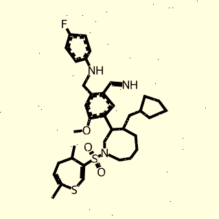 COc1cc(CNc2ccc(F)cc2)c(C=N)cc1C1CN(S(=O)(=O)C2=CSC(C)=CCC2C)CCCCC1CC1CCCC1